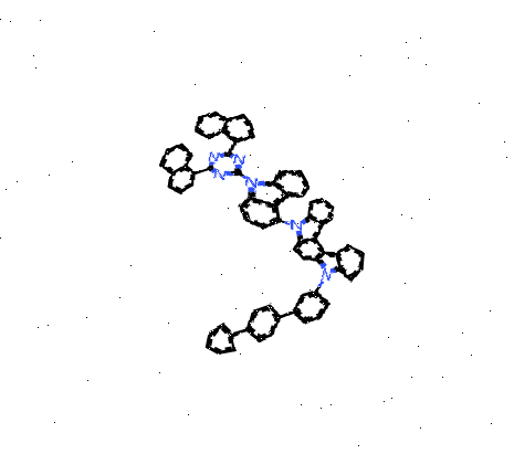 c1ccc(-c2ccc(-c3cccc(-n4c5ccccc5c5c6c7ccccc7n(-c7cccc8c7c7ccccc7n8-c7nc(-c8cccc9ccccc89)nc(-c8cccc9ccccc89)n7)c6ccc54)c3)cc2)cc1